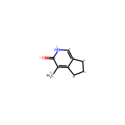 Cc1c2c(c[nH]c1=O)CCC2